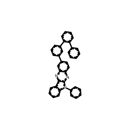 c1ccc(-c2ccccc2-c2cccc(-c3ccc4nc5c(nc4c3)c3ccccc3n5-c3ccccc3)c2)cc1